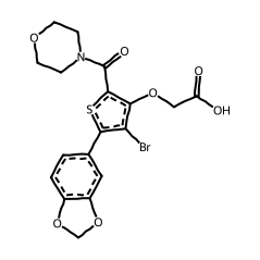 O=C(O)COc1c(C(=O)N2CCOCC2)sc(-c2ccc3c(c2)OCO3)c1Br